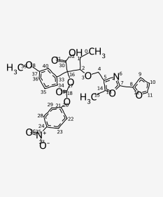 CCC(OCc1nc(-c2ccco2)oc1C)C(OC(=O)Oc1ccc([N+](=O)[O-])cc1)(C(=O)O)c1cccc(OC)c1